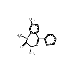 Cc1ccc2c(c1)N(C)C(=O)[C@H](N)N=C2c1ccccc1